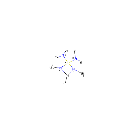 CCN1C(C)N(C(C)(C)C)S1(N(C)C)N(C)C